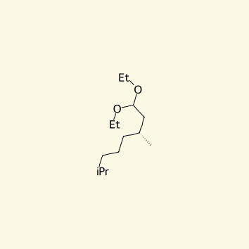 CCOC(C[C@H](C)CCCC(C)C)OCC